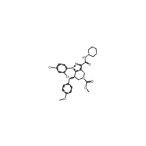 COC(=O)N1C/C(=C\c2ccc(OC)cc2)c2c(c(C(=O)NN3CCCCC3)nn2-c2ccc(Cl)cc2Cl)C1